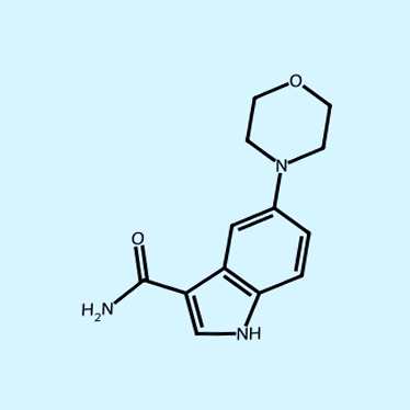 NC(=O)c1c[nH]c2ccc(N3CCOCC3)cc12